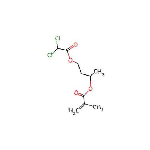 C=C(C)C(=O)OC(C)CCOC(=O)C(Cl)Cl